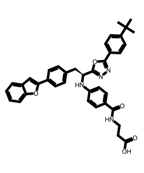 CC(C)(C)c1ccc(-c2nnc([C@H](Cc3ccc(-c4cc5ccccc5o4)cc3)Nc3ccc(C(=O)NCCC(=O)O)cc3)o2)cc1